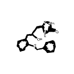 O=c1[nH]nc(CC(O)Cc2ccccc2OCc2ccccc2)[nH]1